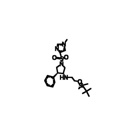 Cn1cnc(S(=O)(=O)N2C[C@H](NCCO[Si](C)(C)C(C)(C)C)[C@@H](c3ccccc3)C2)c1